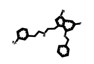 CCn1cc(CCNCCc2cccc(C(F)(F)F)c2)c2c(OCc3ccccc3)cc(F)cc21